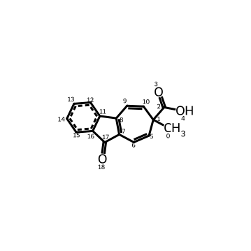 CC1(C(=O)O)C=CC2=C(C=C1)c1ccccc1C2=O